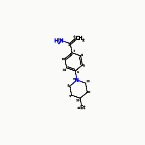 C=C(N)c1ccc(N2CCC(CC)CC2)cc1